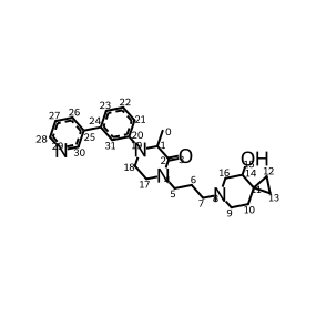 CC1C(=O)N(CCCN2CCC3(CC3)C(O)C2)CCN1c1cccc(-c2cccnc2)c1